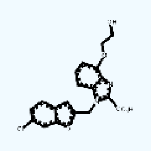 O=C(O)c1nc2c(OCCO)cccc2n1Cc1cc2ccc(Cl)cc2s1